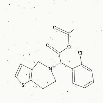 CC(=O)OC(=O)[C@H](c1ccccc1Cl)N1CCc2sccc2C1